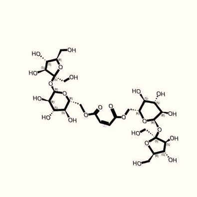 O=C(/C=C\C(=O)OC[C@H]1O[C@H](O[C@]2(CO)O[C@H](CO)[C@@H](O)[C@@H]2O)[C@H](O)[C@@H](O)[C@@H]1O)OC[C@H]1O[C@H](O[C@]2(CO)O[C@H](CO)[C@@H](O)[C@@H]2O)[C@H](O)[C@@H](O)[C@@H]1O